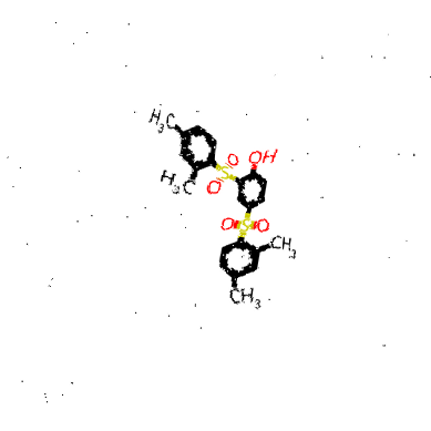 Cc1ccc(S(=O)(=O)c2ccc(O)c(S(=O)(=O)c3ccc(C)cc3C)c2)c(C)c1